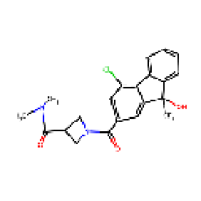 CN(C)C(=O)C1CN(C(=O)c2cc(Cl)c3c(c2)C(O)(C(F)(F)F)c2ccccc2-3)C1